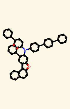 c1ccc(-c2ccc(-c3ccc(N(c4ccc(-c5ccccc5)cc4)c4cc5oc6ccc7ccccc7c6c5cc4-c4ccccc4)cc3)cc2)cc1